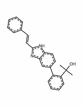 CC(C)(O)c1ccccc1-c1ccc2[nH]c(/C=C/c3ccccc3)nc2c1